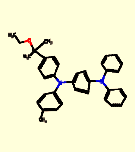 CCO[Si](C)(C)c1ccc(N(c2ccc(C)cc2)c2ccc(N(c3ccccc3)c3ccccc3)cc2)cc1